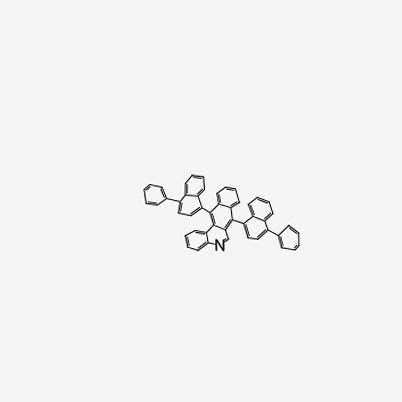 c1ccc(-c2ccc(-c3c4ccccc4c(-c4ccc(-c5ccccc5)c5ccccc45)c4c3cnc3ccccc34)c3ccccc23)cc1